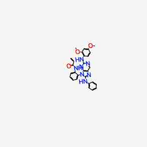 C=CC(=O)Nc1ccccc1-n1c(Nc2ccccc2)nc2cnc(Nc3ccc(OC)cc3OC)nc21